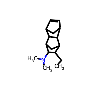 CCC1C2CC(C3C4C=CC(C4)C23)C1N(C)C